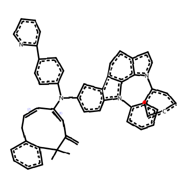 C=C1/C=C(N(c2ccc(-c3ccccn3)cc2)c2ccc3c(c2)c2ccc4ccn(-c5ccccc5)c4c2n3-c2ccccc2)\C=C/Cc2ccccc2C1(C)C